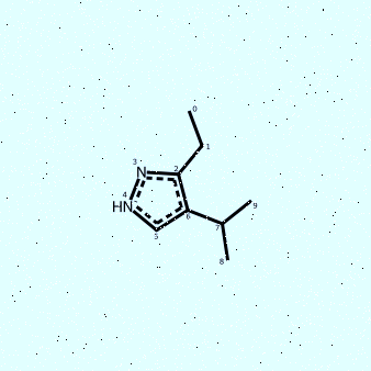 CCc1n[nH]cc1C(C)C